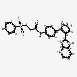 O=C(CCS(=O)(=O)c1ccccc1)Nc1ccc(-c2n[nH]cc2-c2nc3ncccc3o2)cc1